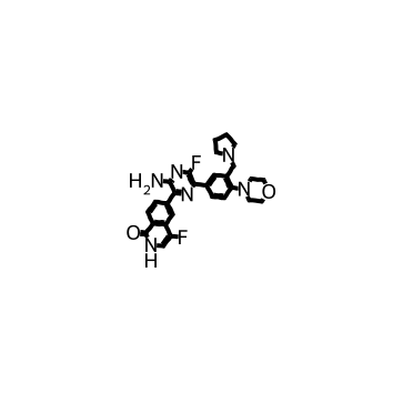 Nc1nc(F)c(-c2ccc(N3CCOCC3)c(CN3CCCC3)c2)nc1-c1ccc2c(=O)[nH]cc(F)c2c1